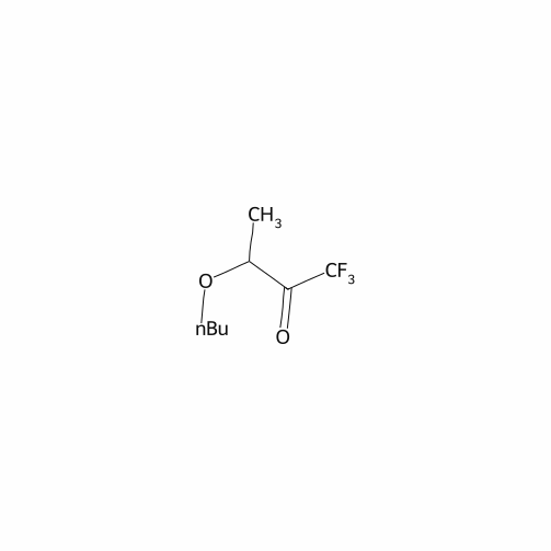 CCCCOC(C)C(=O)C(F)(F)F